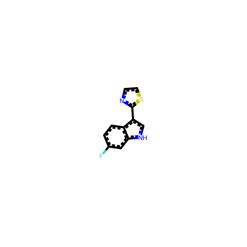 Fc1ccc2c(-c3nccs3)c[nH]c2c1